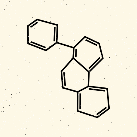 c1ccc(-c2cccc3c2ccc2ccccc23)cc1